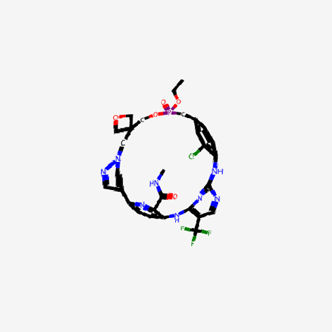 CCOP1(=O)Cc2ccc(c(Cl)c2)Nc2ncc(C(F)(F)F)c(n2)Nc2ccc(nc2C(=O)NC)-c2cnn(c2)CC2(COC2)CO1